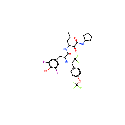 CCC[C@H](NC(=O)[C@H](Cc1cc(I)c(O)c(I)c1)N[C@@H](c1ccc(OC(F)(F)F)cc1)C(F)(F)F)C(=O)C(=O)NC1CCCC1